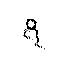 CCC.CNCCCc1ccccc1